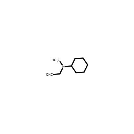 O=CCN(C(=O)O)C1CCCCC1